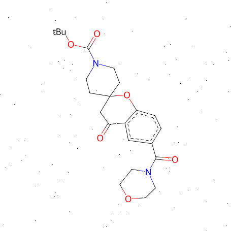 CC(C)(C)OC(=O)N1CCC2(CC1)CC(=O)c1cc(C(=O)N3CCOCC3)ccc1O2